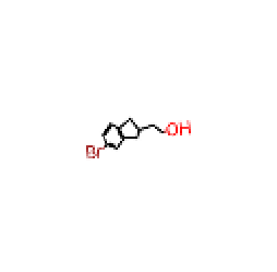 OCCC1Cc2ccc(Br)cc2C1